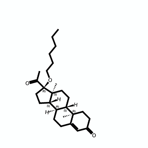 CCCCCCO[C@]1(C(C)=O)CC[C@H]2[C@@H]3CCC4=CC(=O)CC[C@]4(C)[C@H]3CC[C@@]21C